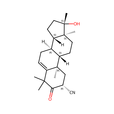 CC1(C)C(=O)[C@@H](C#N)C[C@@]2(C)C1=CC[C@@H]1[C@@H]2CC[C@@]2(C)[C@H]1CC[C@]2(C)O